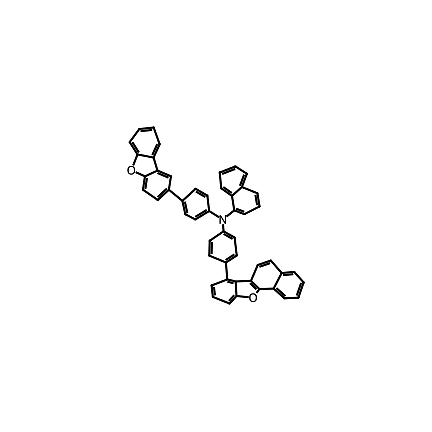 c1ccc2c(N(c3ccc(-c4ccc5oc6ccccc6c5c4)cc3)c3ccc(-c4cccc5oc6c7ccccc7ccc6c45)cc3)cccc2c1